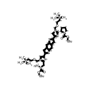 CCCN(Cc1nc(-c2cc3cc4sc(-c5cn(COCC[Si](C)(C)C)c([C@@H]6CCCN6C(=O)OC(C)(C)C)n5)cc4cc3s2)cn1COCC[Si](C)(C)C)C(=O)OC(C)(C)C